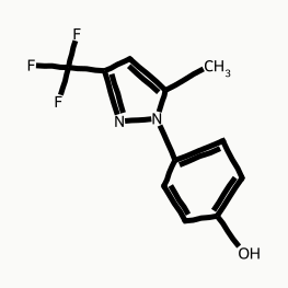 Cc1cc(C(F)(F)F)nn1-c1ccc(O)cc1